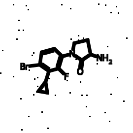 NC1CCN(c2ccc(Br)c(C3CC3)c2F)C1=O